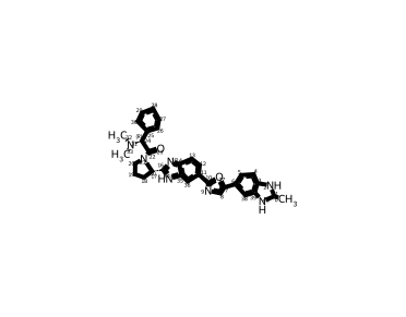 CC1Nc2ccc(-c3cnc(-c4ccc5nc([C@@H]6CCCN6C(=O)[C@@H](c6ccccc6)N(C)C)[nH]c5c4)o3)cc2N1